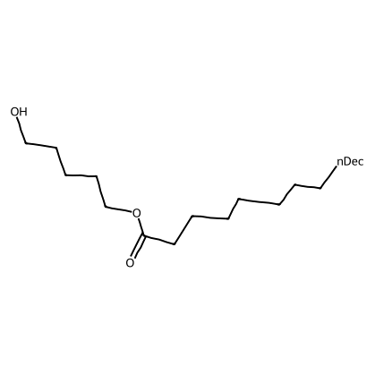 CCCCCCCCCCCCCCCCCC(=O)OCCCCCO